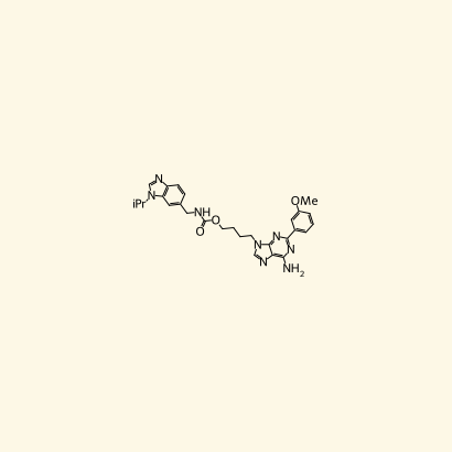 COc1cccc(-c2nc(N)c3ncn(CCCCOC(=O)NCc4ccc5ncn(C(C)C)c5c4)c3n2)c1